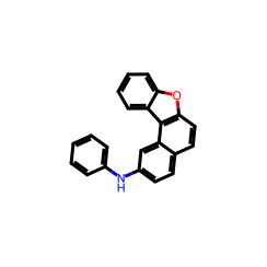 c1ccc(Nc2ccc3ccc4oc5ccccc5c4c3c2)cc1